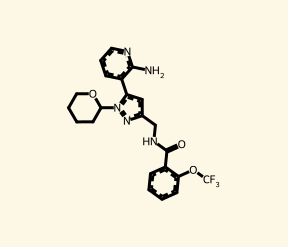 Nc1ncccc1-c1cc(CNC(=O)c2ccccc2OC(F)(F)F)nn1C1CCCCO1